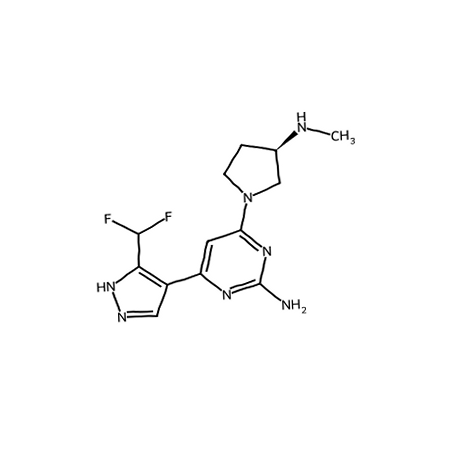 CN[C@@H]1CCN(c2cc(-c3cn[nH]c3C(F)F)nc(N)n2)C1